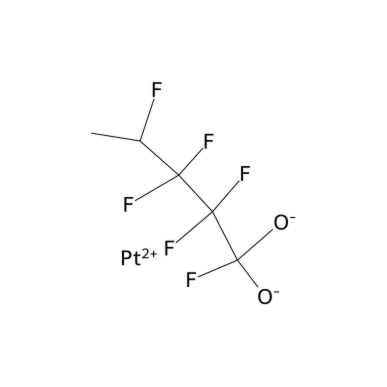 CC(F)C(F)(F)C(F)(F)C([O-])([O-])F.[Pt+2]